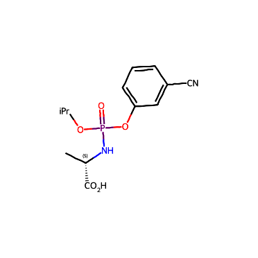 CC(C)OP(=O)(N[C@@H](C)C(=O)O)Oc1cccc(C#N)c1